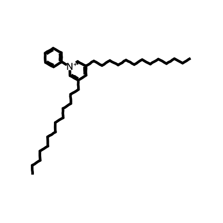 CCCCCCCCCCCCCc1cc(CCCCCCCCCCCCC)c[n+](-c2ccccc2)c1